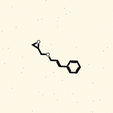 C(=C\c1ccccc1)/COCC1CO1